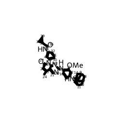 COc1cc(NC23CC4CC(CC(C4)C2)C3)ccc1Nc1ncc2c(C)cc(=O)n(-c3cccc(NC(=O)C4CC4)c3)c2n1